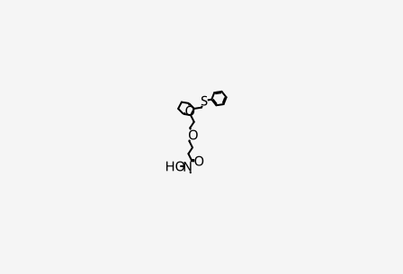 CN(O)C(=O)CCCOCCC1C2CCC(O2)C1CSc1ccccc1